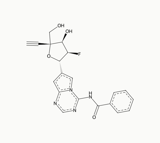 C#C[C@]1(CO)O[C@@H](c2cc3ncnc(NC(=O)c4ccccc4)n3c2)[C@H](F)[C@@H]1O